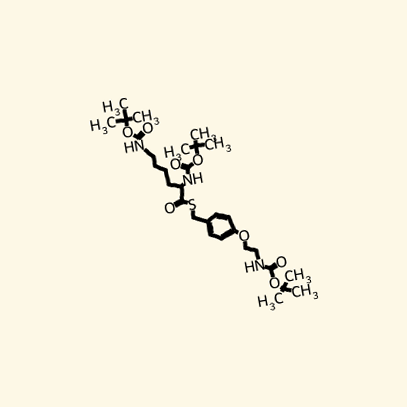 CC(C)(C)OC(=O)NCCCCC(NC(=O)OC(C)(C)C)C(=O)SCc1ccc(OCCNC(=O)OC(C)(C)C)cc1